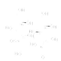 O=C(CO)[C@@H](O)[C@H](O)[C@H](O)CO.O=C[C@H](O)[C@@H](O)[C@@H](O)[C@H](O)CO